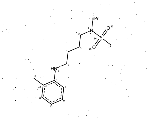 CCCN(CCCCNc1ccccc1C)S(C)(=O)=O